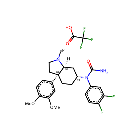 CCCN1CC[C@]2(c3ccc(OC)c(OC)c3)CC[C@@H](N(C(N)=O)c3ccc(F)c(F)c3)C[C@H]12.O=C(O)C(F)(F)F